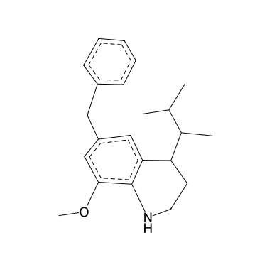 COc1cc(Cc2ccccc2)cc2c1NCCC2C(C)C(C)C